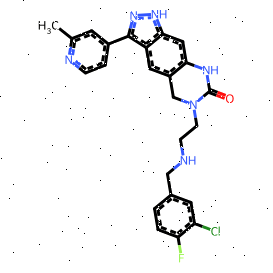 Cc1cc(-c2n[nH]c3cc4c(cc23)CN(CCNCc2ccc(F)c(Cl)c2)C(=O)N4)ccn1